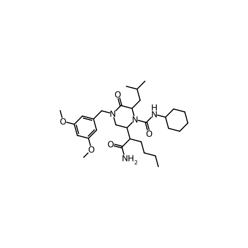 CCCCC(C(N)=O)C1CN(Cc2cc(OC)cc(OC)c2)C(=O)C(CC(C)C)N1C(=O)NC1CCCCC1